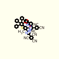 Cc1c(-c2ncc(-c3c(C#N)cc(C#N)cc3C#N)cn2)c(-c2ncc(-c3c(C#N)cc(C#N)cc3C#N)cn2)c(-n2c3ccccc3c3ccccc32)c2c1sc1c(-c3ccccc3)c(-c3ccccc3)c(-c3ccccc3)c(-c3ccccc3)c12